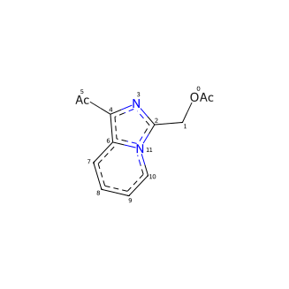 CC(=O)OCc1nc(C(C)=O)c2ccccn12